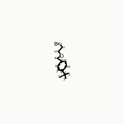 CC(C)(C)c1ccc(COCCBr)cc1